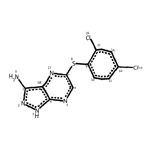 Nc1n[nH]c2ncc(Sc3ccc(Cl)cc3Cl)nc12